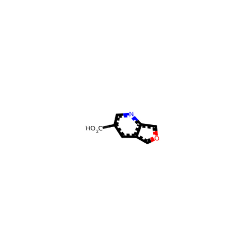 O=C(O)c1cnc2cocc2c1